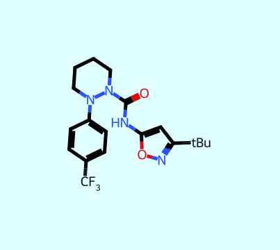 CC(C)(C)c1cc(NC(=O)N2CCCCN2c2ccc(C(F)(F)F)cc2)on1